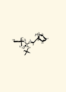 CC(C)(C)OP(=O)(OCc1ccc[nH]1)OC(C)(C)C